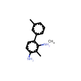 C.Cc1cccc(-c2ccc(N)c(C)c2N)c1